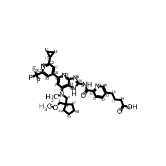 COCC1(CN(C)c2cc(-c3cc(C4CC4)nc(C(F)(F)F)c3)nc3nc(NC(=O)c4ccc(CCCC(=O)O)cn4)[nH]c23)CCCC1